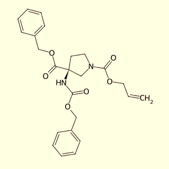 C=CCOC(=O)N1CC[C@@](NC(=O)OCc2ccccc2)(C(=O)OCc2ccccc2)C1